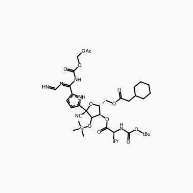 CC(=O)OCOC(=O)N/C(=N/C=N)c1ccc([C@]2(C#N)O[C@H](COC(=O)CC3CCCCC3)[C@@H](OC(=O)[C@@H](NC(=O)OC(C)(C)C)C(C)C)C2O[Si](C)(C)C)[nH]1